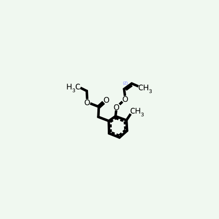 C/C=C\OOc1c(C)cccc1CC(=O)OCC